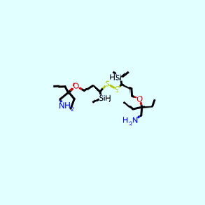 CCC(CC)(CN)OCCC(SSC(CCOC(CC)(CC)CN)[SiH](C)C)[SiH](C)C